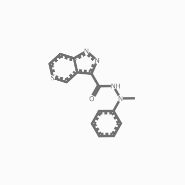 CN(NC(=O)c1nnc2ccscc1-2)c1ccccc1